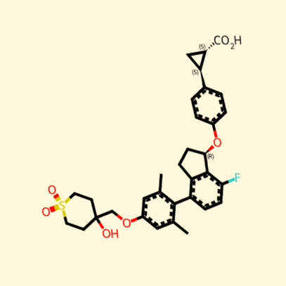 Cc1cc(OCC2(O)CCS(=O)(=O)CC2)cc(C)c1-c1ccc(F)c2c1CC[C@H]2Oc1ccc([C@H]2C[C@@H]2C(=O)O)cc1